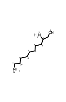 N#CCC(N)CCCCCCCCN